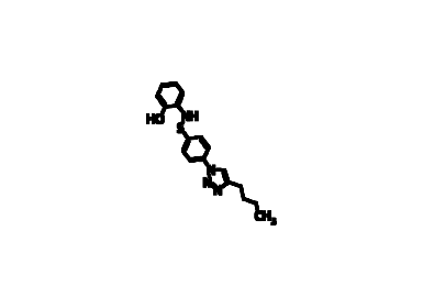 CCCCc1cn(-c2ccc(SNc3ccccc3O)cc2)nn1